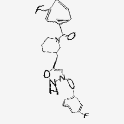 O=C(c1cccc(F)c1)N1CCC[C@H](C2=CN(Oc3cccc(F)c3)NO2)C1